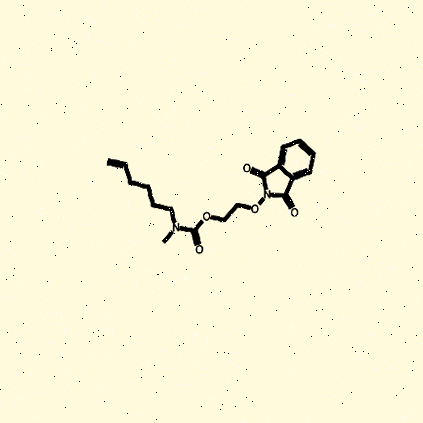 C=CCCCCN(C)C(=O)OCCON1C(=O)c2ccccc2C1=O